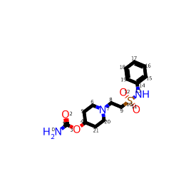 NC(=O)OC1CCN(CCS(=O)(=O)Nc2ccccc2)CC1